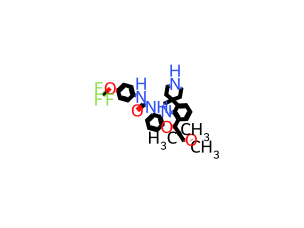 COCC(C)(C)C(=O)c1cccc2c1N(c1ccccc1NC(=O)Nc1ccc(OC(F)(F)F)cc1)CC21CCNCC1